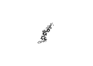 O=COC1CCCN(c2ccn3c(-c4cccc(NC(=O)NCC(F)(F)F)c4)cnc3c2)C1